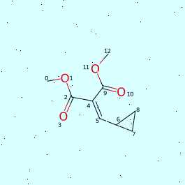 COC(=O)C(=CC1CC1)C(=O)OC